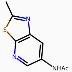 CC(=O)Nc1cnc2sc(C)nc2c1